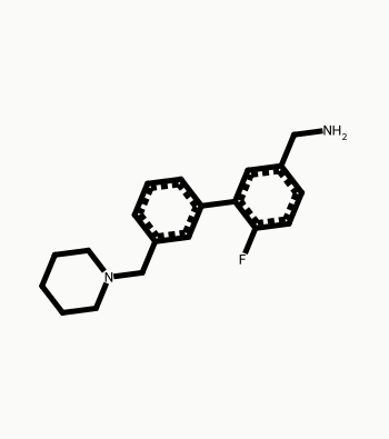 NCc1ccc(F)c(-c2cccc(CN3CCCCC3)c2)c1